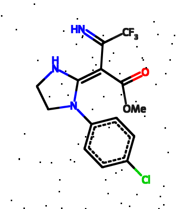 COC(=O)/C(C(=N)C(F)(F)F)=C1/NCCN1c1ccc(Cl)cc1